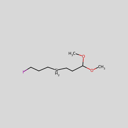 COC(CC[SiH2]CCCI)OC